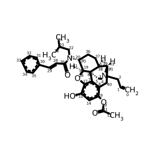 C=CCN1CC[C@]23c4c5c(OC(C)=O)cc(O)c4O[C@H]2[C@H](N(CC(C)C)C(=O)C=Cc2ccccc2)CC[C@H]3[C@H]1C5